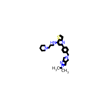 CC(C)n1cc2c(n1)CN(Cc1ccc(-c3cc(NCCCN4CCCCC4)c4sccc4n3)cc1)C2